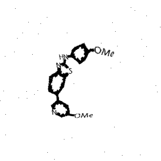 COc1ccc(Nc2nc3ccc(-c4cncc(OC)c4)cc3s2)cc1